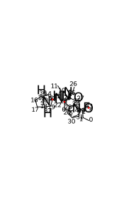 CCC(=O)N1CCc2c(nc(C)n2[C@H]2C[C@H]3CC[C@@H](C2)N3CC[C@H](NC(C)=O)c2cccc(F)c2)C1